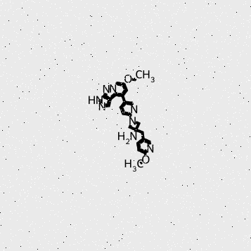 CCOc1cc(-c2ccc(N3CC(N)(Cc4ccc(OC)nc4)C3)nc2)c2c3cn[nH]c3nn2c1